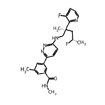 CNC(=O)c1cc(C)cc(-c2ccc(NC[C@](C)(C[C@H](C)F)c3ncccc3F)nn2)c1